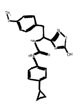 COc1ccc(CC(NC(=O)Nc2ccc(C3CC3)cc2)c2noc(O)n2)cc1